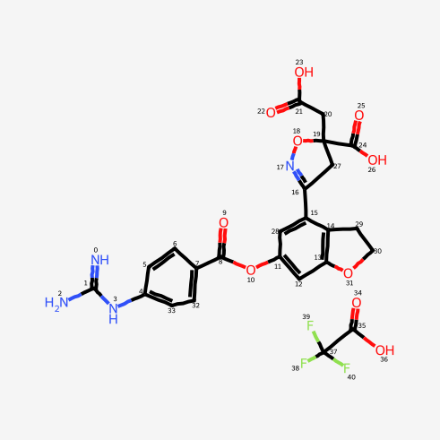 N=C(N)Nc1ccc(C(=O)Oc2cc3c(c(C4=NOC(CC(=O)O)(C(=O)O)C4)c2)CCO3)cc1.O=C(O)C(F)(F)F